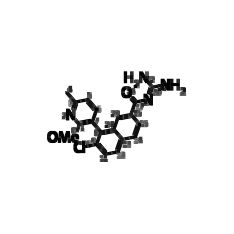 COc1nc(C)ccc1-c1c(Cl)ccc2ccc(C(=O)N=C(N)N)cc12